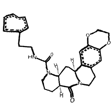 O=C1[C@H]2CCCN(C(=O)NCCc3ccccc3)[C@H]2C[C@H]2c3cc4c(cc3CCN12)OCCO4